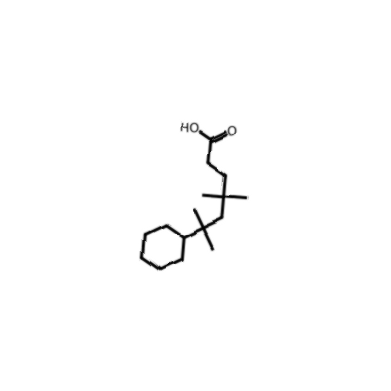 CC(C)(CCC(=O)O)CC(C)(C)C1CCCCC1